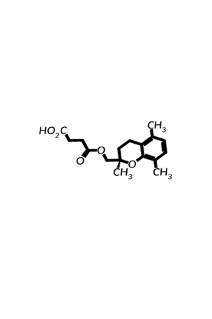 Cc1ccc(C)c2c1CC[C@@](C)(COC(=O)CCC(=O)O)O2